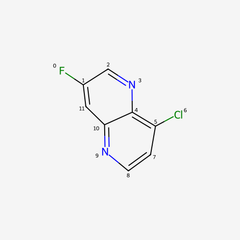 Fc1cnc2c(Cl)ccnc2c1